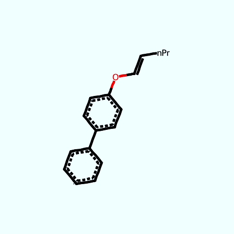 CCCC=COc1ccc(-c2cc[c]cc2)cc1